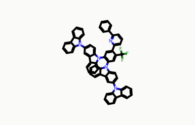 FC(F)(F)c1cc(-n2c3ccccc3c3cc(-n4c5ccccc5c5ccccc54)ccc32)c(-n2c3ccccc3c3cc(-n4c5ccccc5c5ccccc54)ccc32)cc1-c1cccc(-c2ccccc2)n1